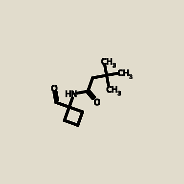 CC(C)(C)CC(=O)NC1(C=O)CCC1